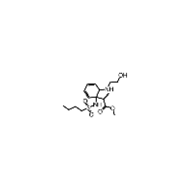 CCCCS(=O)(=O)NC1(C(C)C(=O)OC)C=CC=CC1NCCO